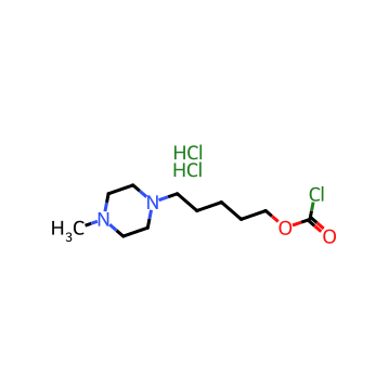 CN1CCN(CCCCCOC(=O)Cl)CC1.Cl.Cl